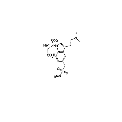 CNS(=O)(=O)Cc1ccc2[nH]cc(CCN(C)C)c2c1.O=C([O-])CCC(=O)O.[Na+]